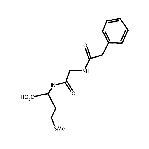 CSCCC(NC(=O)CNC(=O)Cc1ccccc1)C(=O)O